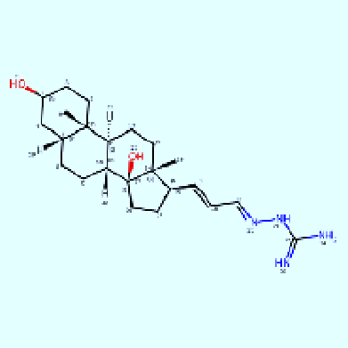 C[C@]12CC[C@H](O)C[C@H]1CC[C@@H]1[C@@H]2CC[C@]2(C)[C@@H](C=CC=NNC(=N)N)CC[C@]12O